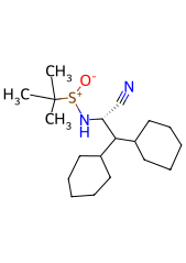 CC(C)(C)[S+]([O-])N[C@H](C#N)C(C1CCCCC1)C1CCCCC1